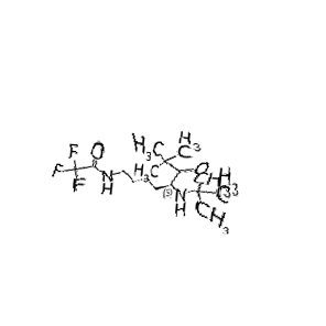 CC(C)(C)N[C@@H](CCCCNC(=O)C(F)(F)F)C(=O)C(C)(C)C